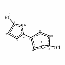 CCc1ccc(-c2ccc(Cl)cc2)s1